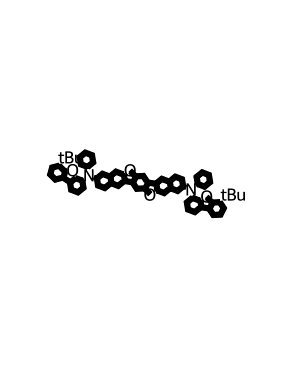 CC(C)(C)c1cccc2c1oc1c(N(c3ccccc3)c3ccc4cc5c(cc4c3)oc3cc4c(cc35)oc3cc5cc(N(c6ccccc6)c6cccc7c6oc6c(C(C)(C)C)cccc67)ccc5cc34)cccc12